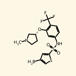 Bc1csc(S(=O)(=O)Nc2ccc(C(F)(F)F)c(O[C@@H]3CCN(C)C3)c2)c1